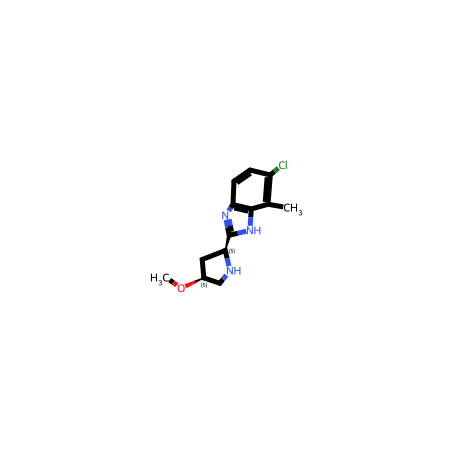 CO[C@@H]1CN[C@H](c2nc3ccc(Cl)c(C)c3[nH]2)C1